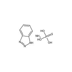 N.OP(O)(O)=S.c1ccc2[nH]nnc2c1